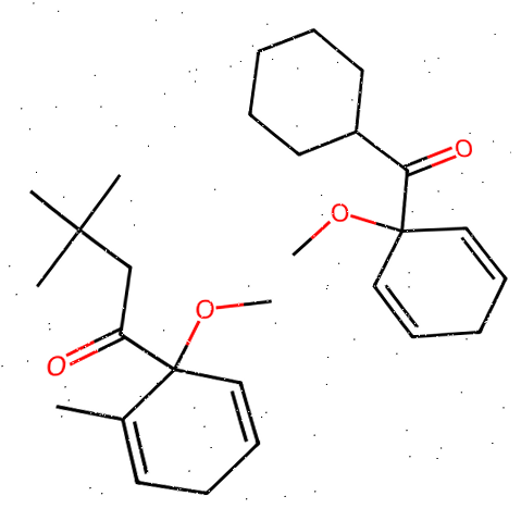 COC1(C(=O)C2CCCCC2)C=CCC=C1.COC1(C(=O)CC(C)(C)C)C=CCC=C1C